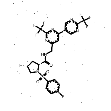 O=C(NCc1cc(-c2cnc(C(F)(F)F)nc2)nc(C(F)(F)F)n1)[C@@H]1C[C@@H](F)CN1S(=O)(=O)c1ccc(F)cc1